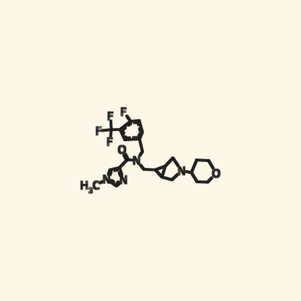 Cn1cnc(C(=O)N(Cc2ccc(F)c(C(F)(F)F)c2)CC2C3CN(C4CCOCC4)CC23)c1